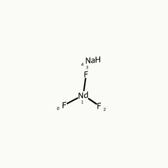 [F][Nd]([F])[F].[NaH]